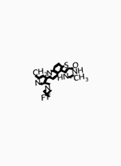 C=Cc1cc(-c2ccc3c(ccc4sc5c(c43)NC[C@@H](C)NC5=O)n2)c(CN2CC(F)(F)C2)cn1